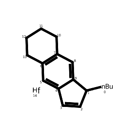 CCCCC1C=Cc2cc3c(cc21)CCCC3.[Hf]